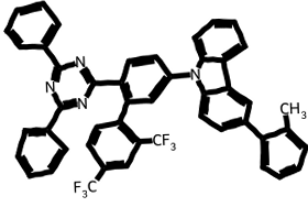 Cc1ccccc1-c1ccc2c(c1)c1ccccc1n2-c1ccc(-c2nc(-c3ccccc3)nc(-c3ccccc3)n2)c(-c2ccc(C(F)(F)F)cc2C(F)(F)F)c1